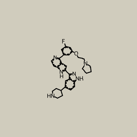 Fc1cc(OCCN2CCCC2)cc(-c2nccc3[nH]c(-c4n[nH]c5ccc(C6CCNCC6)cc45)cc23)c1